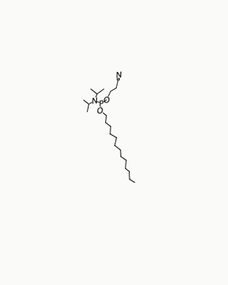 CCCCCCCCCCCCCOP(OCCC#N)N(C(C)C)C(C)C